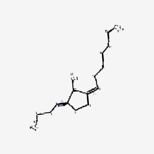 CCC/C=C1\CC/C(=C/CCCCCC)C1O